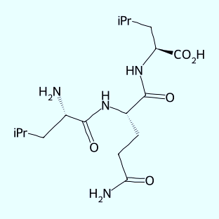 CC(C)C[C@H](NC(=O)[C@H](CCC(N)=O)NC(=O)[C@@H](N)CC(C)C)C(=O)O